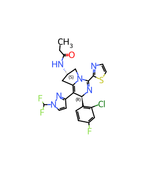 CCC(=O)N[C@H]1CC2=C(c3ccn(C(F)F)n3)[C@H](c3ccc(F)cc3Cl)N=C(c3nccs3)N2C1